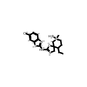 B[N+]1(C)CCC(CC)C2(CN=C(Nc3nc4ccc(Cl)cc4s3)O2)C1